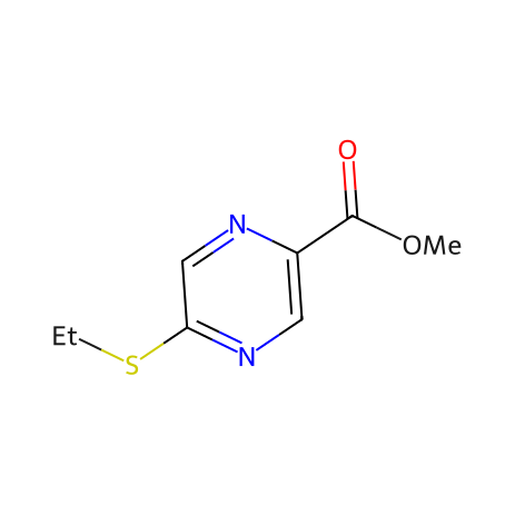 CCSc1cnc(C(=O)OC)cn1